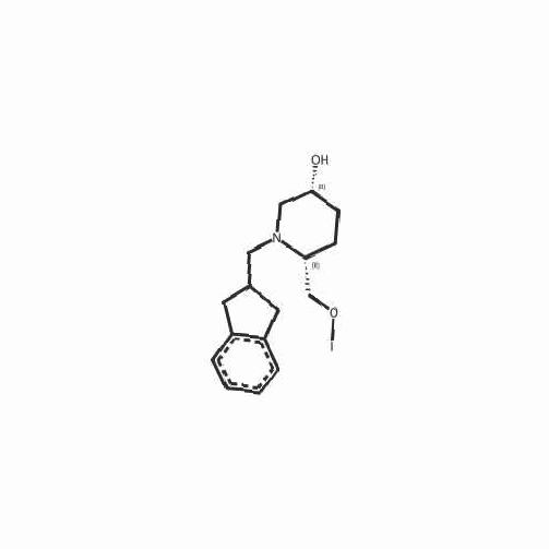 O[C@@H]1CC[C@H](COI)N(CC2Cc3ccccc3C2)C1